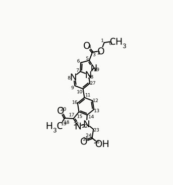 CCOC(=O)c1cc2ncc(-c3ccc4c(c3)c(C(C)=O)nn4CC(=O)O)cn2n1